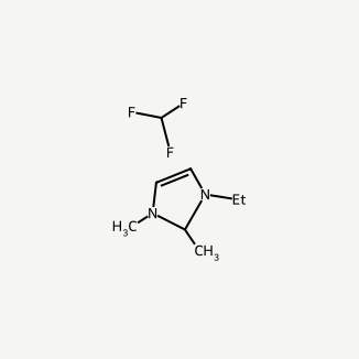 CCN1C=CN(C)C1C.FC(F)F